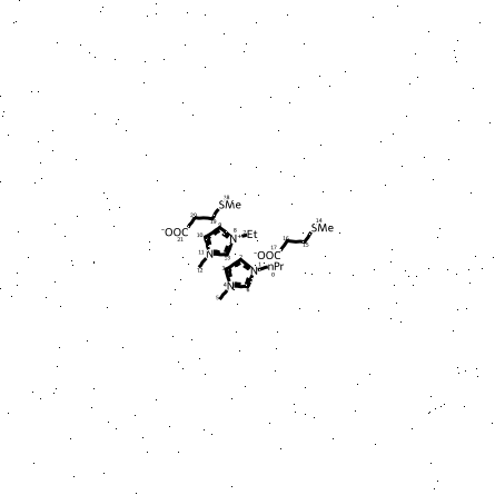 CCCn1cc[n+](C)c1.CC[n+]1ccn(C)c1.CSCCC(=O)[O-].CSCCC(=O)[O-]